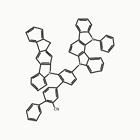 N#Cc1cc(-c2ccc(-n3c4ccccc4c4c3ccc3c5ccccc5n(-c5ccccc5)c34)cc2-n2c3ccccc3c3cc4c(cc32)Cc2ccccc2-4)ccc1-c1ccccc1